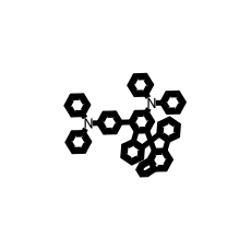 c1ccc(N(c2ccccc2)c2ccc(-c3cc(N(c4ccccc4)c4ccccc4)cc4c3-c3ccccc3C43c4ccccc4-c4ccc5ccccc5c43)cc2)cc1